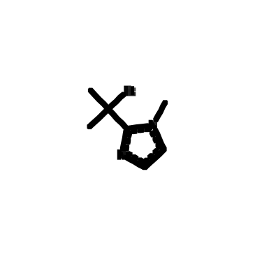 CCC(C)(C)c1nccn1C